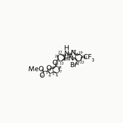 COC(=O)c1cc2cccc(Oc3ccc(Nc4nc5cc(C(F)(F)F)cc(Br)c5[nH]4)cc3)c2o1